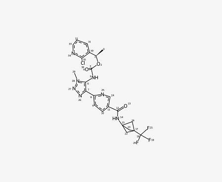 C[C@@H](OC(=O)Nc1c(-c2ccc(C(=O)NC34CC(C(F)(F)F)(C3)C4)cn2)nnn1C)c1cccnc1Cl